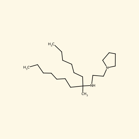 CCCCCCCC(C)(CCCCCC)NCCN1CCCC1